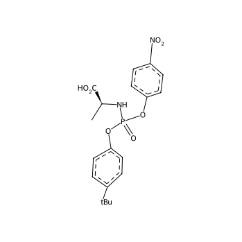 C[C@H](NP(=O)(Oc1ccc([N+](=O)[O-])cc1)Oc1ccc(C(C)(C)C)cc1)C(=O)O